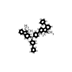 CC1(C)c2ccccc2-c2ccc(N(c3ccc(-c4ccccc4)cc3)c3ccc(-c4ccc5c(c4)C(C)(C)c4cccc(-c6ccccc6)c4-5)cc3)cc21